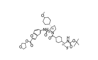 COC1CCC([C@@H]2CCN(C(=O)C3CCC([C@@H](CF)NC(=O)OC(C)(C)C)CC3)[C@H]2C(=O)Nc2ccc3oc(C(=O)OC4CCOC4)cc3c2)CC1